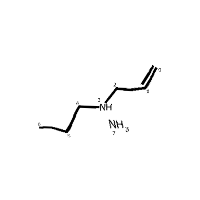 C=CCNCCC.N